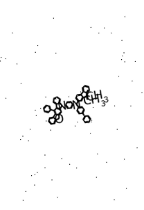 CC1(C)c2ccccc2-c2ccc(N(c3ccc(-c4ccccc4)cc3)c3ccc(-n4c5ccccc5c5c(-c6ccccc6)c6c(cc54)oc4ccccc46)cc3)cc21